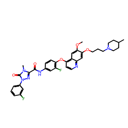 COc1cc2c(Oc3ccc(NC(=O)c4nn(-c5cccc(F)c5)c(=O)n4C)cc3F)ccnc2cc1OCCCN1CCC(C)CC1